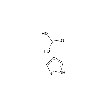 O=C(O)O.c1cn[nH]c1